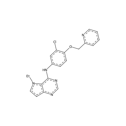 [CH2]Cn1ccc2ncnc(Nc3ccc(OCc4ccccn4)c(Cl)c3)c21